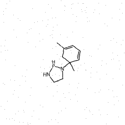 CC1=CC=CC(C)(N2CCNP2)C1